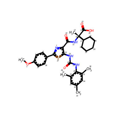 COc1ccc(-c2nc(C(=O)N[C@](C)(C(=O)O)C3CCCCC3)c(NC(=O)Nc3c(C)cc(C)cc3C)s2)cc1